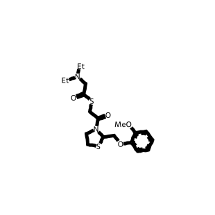 CCN(CC)CC(=O)SCC(=O)N1CCSC1COc1ccccc1OC